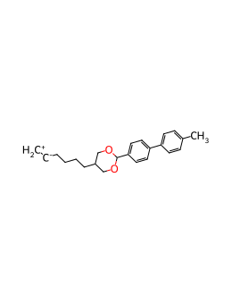 [CH2+][CH-]CCCCC1COC(c2ccc(-c3ccc(C)cc3)cc2)OC1